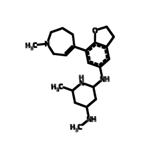 CNC1CC(C)NC(Nc2cc3c(c(C4=CCN(C)CCC4)c2)OCC3)C1